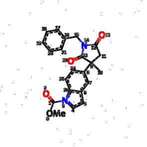 COC(=O)n1ccc2cc(C3(C)CC(=O)N(Cc4ccccc4)C3=O)ccc21